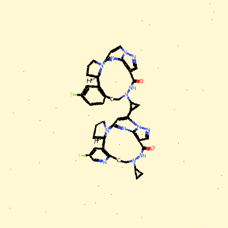 O=C1NN(C2CC2c2cc3nc4c(cnn24)C(=O)NN(C2CC2)CCc2ncc(F)cc2[C@H]2CCCN32)CCc2ccc(F)cc2[C@H]2CCCN2c2ccn3ncc1c3n2